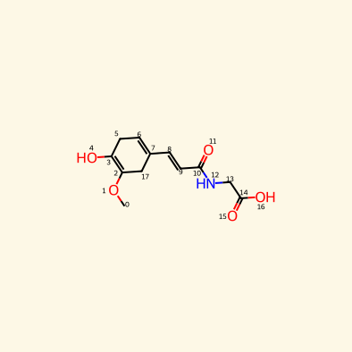 COC1=C(O)CC=C(C=CC(=O)NCC(=O)O)C1